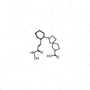 O=C(C=Cc1ccccc1N1CCC2(CCN(C(=O)O)C2)C1)NO